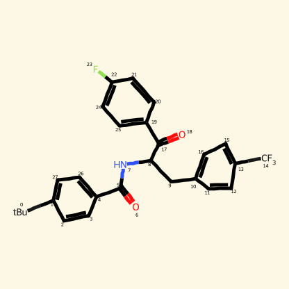 CC(C)(C)c1ccc(C(=O)NC(Cc2ccc(C(F)(F)F)cc2)C(=O)c2ccc(F)cc2)cc1